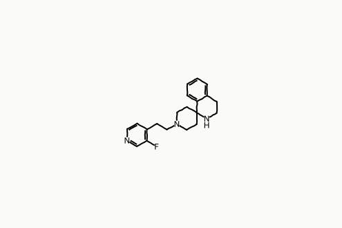 Fc1cnccc1CCN1CCC2(CC1)NCCc1ccccc12